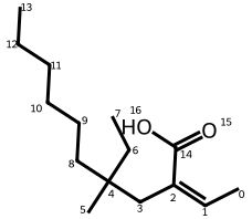 CC=C(CC(C)(CC)CCCCCC)C(=O)O